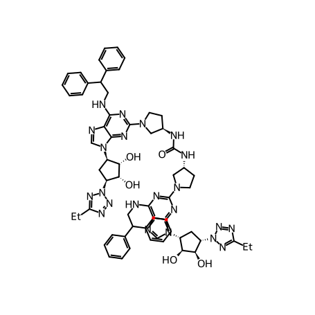 CCc1nnn([C@H]2C[C@@H](n3cnc4c(NCC(c5ccccc5)c5ccccc5)nc(N5CC[C@@H](NC(=O)N[C@@H]6CCN(c7nc(NCC(c8ccccc8)c8ccccc8)c8ncn([C@@H]9C[C@H](n%10nnc(CC)n%10)[C@@H](O)[C@H]9O)c8n7)C6)C5)nc43)[C@H](O)[C@@H]2O)n1